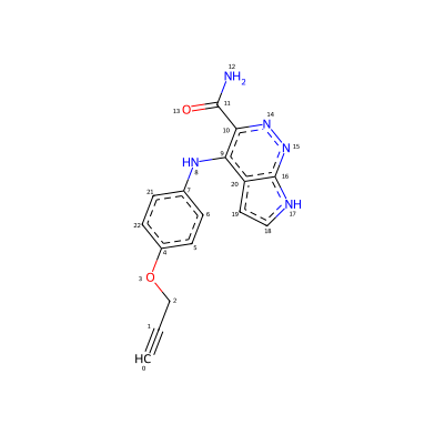 C#CCOc1ccc(Nc2c(C(N)=O)nnc3[nH]ccc23)cc1